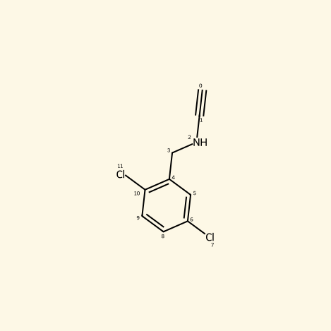 C#CNCc1cc(Cl)ccc1Cl